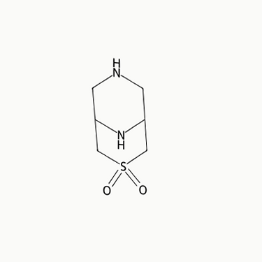 O=S1(=O)CC2CNCC(C1)N2